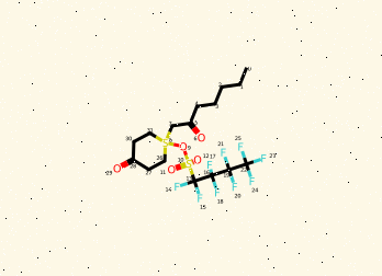 CCCCCC(=O)CS1(OS(=O)(=O)C(F)(F)C(F)(F)C(F)(F)C(F)(F)F)CCC(=O)CC1